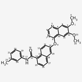 COc1cc2ncnc(Oc3ccc4c(C(=O)Nc5cccc(C)c5)cccc4c3)c2cc1OC